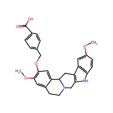 COc1ccc2[nH]c3c(c2c1)CC1c2cc(OCc4ccc(C(=O)O)cc4)c(OC)cc2CCN1C3